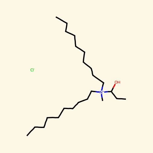 CCCCCCCCCC[N+](C)(CCCCCCCCCC)C(O)CC.[Cl-]